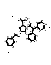 O=C(O)C1CC(OCc2ccccc2)CN1C(=O)C(c1ccccc1)c1ccccc1